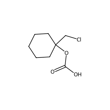 O=C(O)OC1(CCl)CCCCC1